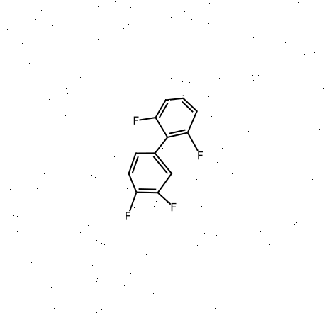 Fc1ccc(-c2c(F)c[c]cc2F)cc1F